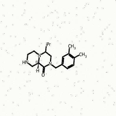 Cc1ccc(CN2CC(C(C)C)N3CCNC[C@H]3C2=O)cc1C